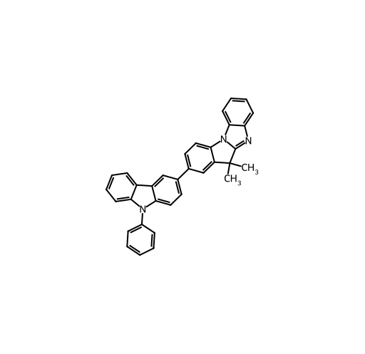 CC1(C)c2cc(-c3ccc4c(c3)c3ccccc3n4-c3ccccc3)ccc2-n2c1nc1ccccc12